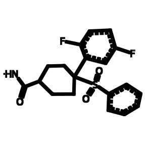 [NH]C(=O)C1CCC(c2cc(F)ccc2F)(S(=O)(=O)c2ccccc2)CC1